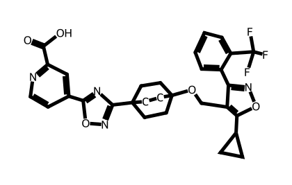 O=C(O)c1cc(-c2nc(C34CCC(OCc5c(-c6ccccc6C(F)(F)F)noc5C5CC5)(CC3)CC4)no2)ccn1